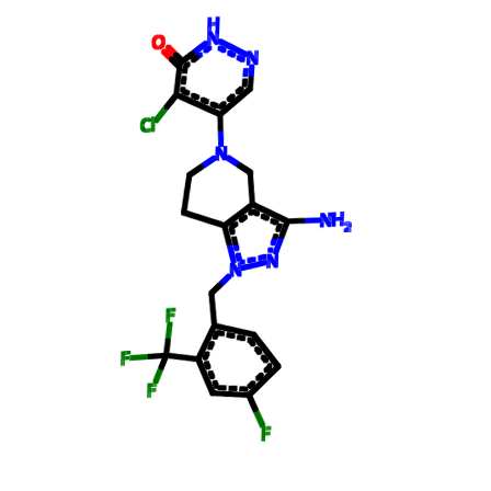 Nc1nn(Cc2ccc(F)cc2C(F)(F)F)c2c1CN(c1cn[nH]c(=O)c1Cl)CC2